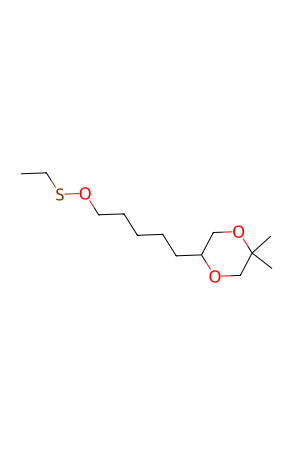 CCSOCCCCCC1COC(C)(C)CO1